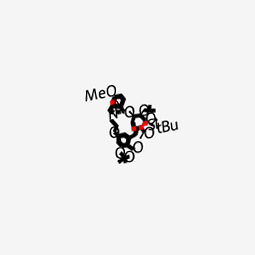 COc1ccc(CO[C@H](/C=C\[C@@H](C)[C@H](C)O[Si](C)(C)C(C)(C)C)[C@H]2OC(C)(C)O[C@H]2C/C=C/c2cc(OCCn3ccnc3)cc3c2C(=O)OC(C)(C)O3)cc1